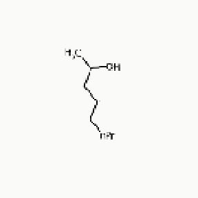 CCCC[CH]CC(C)O